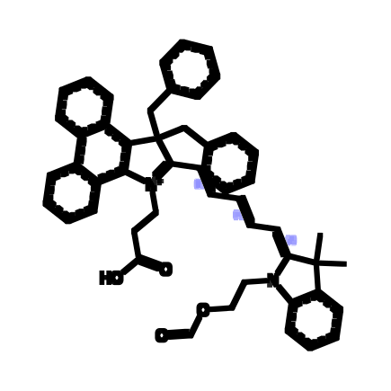 CC1(C)/C(=C/C=C/C=C/C2=[N+](CCC(=O)O)c3c(c4ccccc4c4ccccc34)C2(Cc2ccccc2)Cc2ccccc2)N(CCOC=O)c2ccccc21